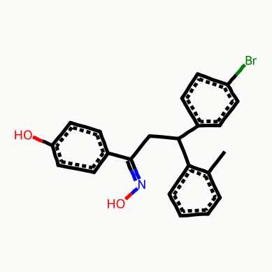 Cc1ccccc1C(C/C(=N/O)c1ccc(O)cc1)c1ccc(Br)cc1